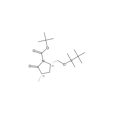 C[C@H]1C[C@@H](CO[Si](C)(C)C(C)(C)C)N(C(=O)OC(C)(C)C)C1=O